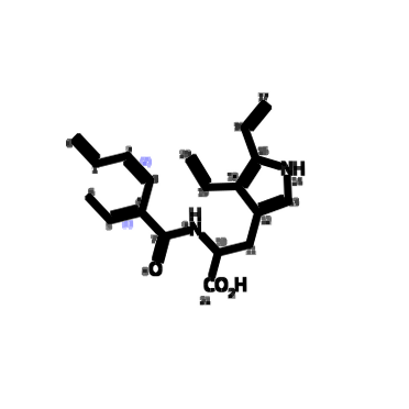 C=C/C=C\C(=C/C)C(=O)NC(Cc1c[nH]c(C=C)c1C=C)C(=O)O